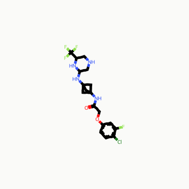 O=C(COc1ccc(Cl)c(F)c1)NC12CC(NC3CNCC(C(F)(F)F)N3)(C1)C2